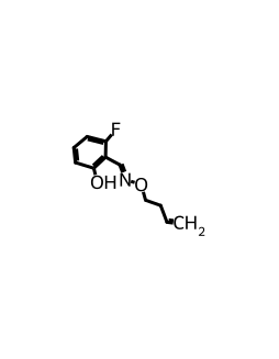 C=CCCON=Cc1c(O)cccc1F